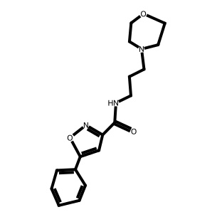 O=C(NCCCN1CCOCC1)c1cc(-c2ccccc2)on1